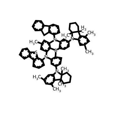 Cc1cc2c3c(c1)N(c1cccc4c1sc1ccccc14)c1cc(N4c5cc(C)cc(C)c5C5(C)CCCCC45C)ccc1B3c1ccc(N3c4cc(C)cc(C)c4C4(C)CCCCC34C)cc1N2c1cccc2c1Cc1ccccc1-2